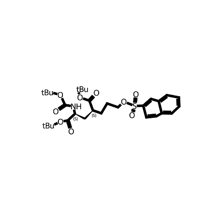 CC(C)(C)OC(=O)N[C@@H](C[C@H](CCCOS(=O)(=O)c1ccc2ccccc2c1)C(=O)OC(C)(C)C)C(=O)OC(C)(C)C